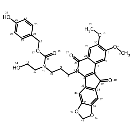 COc1cc2c3c(n(CCCN(CCO)C(=O)OCc4ccc(O)cc4)c(=O)c2cc1OC)-c1cc2c(cc1C3=O)OCO2